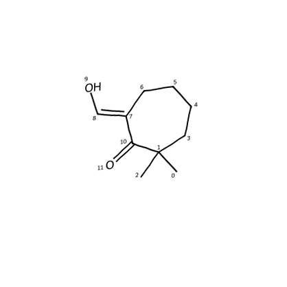 CC1(C)CCCCC(=CO)C1=O